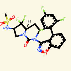 CS(=O)(=O)N[C@@H]1CN2C(=O)N(c3noc4cccc(-c5c(F)cc(F)cc5F)c34)CC[C@@H]2C1(F)F